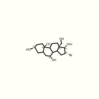 CC(=O)O[C@H]1[C@H](Br)CC2C3C(CC[C@@]21CO)[C@@]1(C)CC[C@H](O)CC1C[C@@H]3O